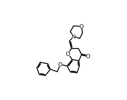 O=C1CC(=CN2CCOCC2)Oc2c(OCc3ccccc3)cccc21